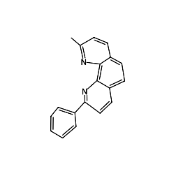 Cc1ccc2ccc3ccc(-c4ccccc4)nc3c2n1